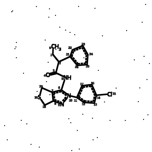 CCC(C(=O)Nc1c2c(nn1-c1ccc(Cl)cc1)CSC2)c1ccccc1